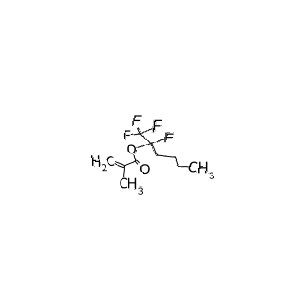 C=C(C)C(=O)OC(F)(CCCC)C(F)(F)F